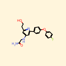 NC(=O)CNc1cc(CCO)nc(-c2ccc(Oc3ccc(F)cc3)cc2)c1